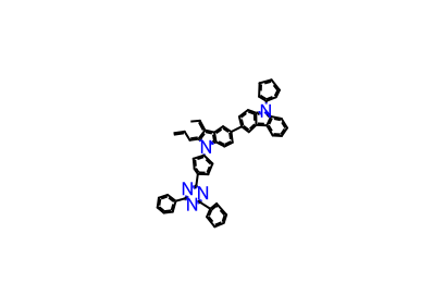 C=C/C=c1\c(=C/C)c2cc(-c3ccc4c(c3)c3ccccc3n4-c3ccccc3)ccc2n1-c1ccc(-c2nc(-c3ccccc3)nc(-c3ccccc3)n2)cc1